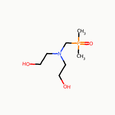 CP(C)(=O)CN(CCO)CCO